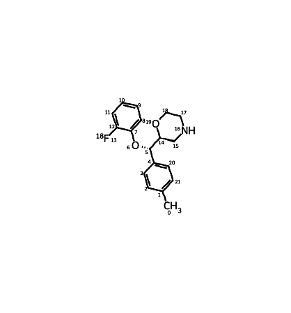 Cc1ccc([C@H](Oc2ccccc2[18F])[C@@H]2CNCCO2)cc1